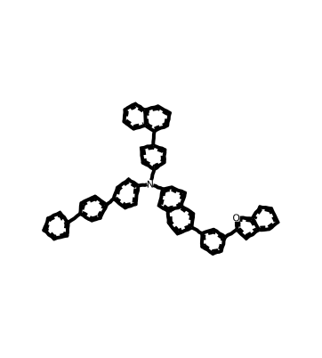 c1ccc(-c2ccc(-c3ccc(N(c4ccc(-c5cccc6ccccc56)cc4)c4ccc5cc(-c6cccc(-c7cc8ccccc8o7)c6)ccc5c4)cc3)cc2)cc1